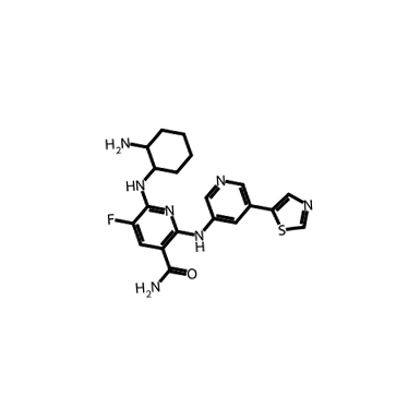 NC(=O)c1cc(F)c(NC2CCCCC2N)nc1Nc1cncc(-c2cncs2)c1